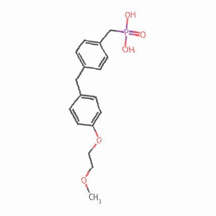 COCCOc1ccc(Cc2ccc(CP(=O)(O)O)cc2)cc1